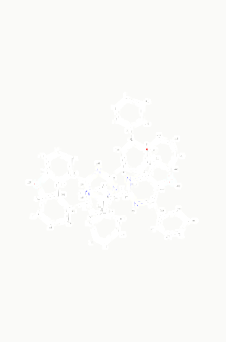 c1ccc(-c2cccc(-c3nc(-c4ccccc4)nc(-c4cccc5oc6cccc(-c7ccc(-c8nc(-c9ccccc9)c9oc%10ccccc%10c9n8)cc7)c6c45)n3)c2)cc1